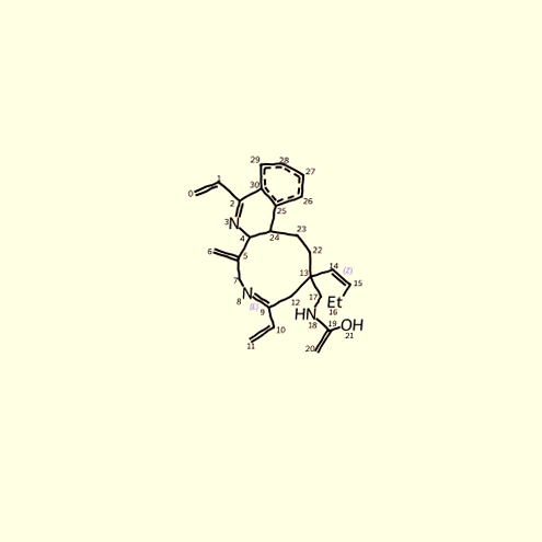 C=CC1=NC2C(=C)C/N=C(/C=C)CC(/C=C\CC)(CNC(=C)O)CCC2c2ccccc21